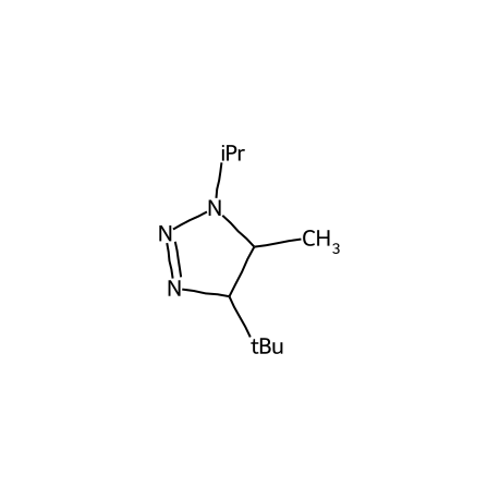 CC(C)N1N=NC(C(C)(C)C)C1C